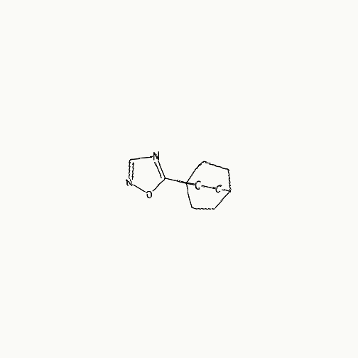 c1noc(C23CCC(CC2)CC3)n1